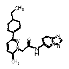 C=C1C=CC(C2=CCC(CC)CC2)=NN1CC(=O)Nc1ccc2ncnn2c1